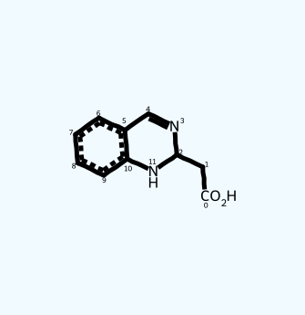 O=C(O)CC1N=Cc2ccccc2N1